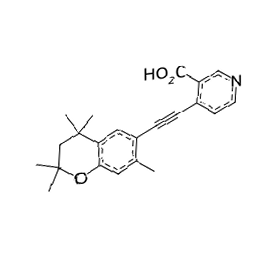 Cc1cc2c(cc1C#Cc1ccncc1C(=O)O)C(C)(C)CC(C)(C)O2